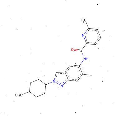 Cc1cc2nn(C3CCC(C=O)CC3)cc2cc1NC(=O)c1cccc(C(F)(F)F)n1